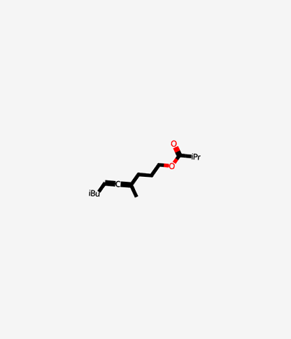 CCC(C)C=C=C(C)CCCOC(=O)C(C)C